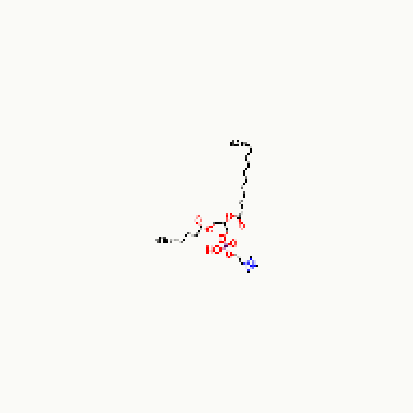 CCCCCCCCCCCCCCCCCCCC(=O)OC(COC(=O)CCCCCCCCCCCCC)COP(=O)(O)OCC[N+](C)(C)C